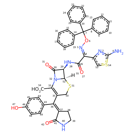 Nc1nc(C(=NOC(c2ccccc2)(c2ccccc2)c2ccccc2)C(=O)N[C@@H]2C(=O)N3C(C(=O)O)=C(C(=C4CCNC4=O)c4ccc(O)cc4)CS[C@H]23)cs1